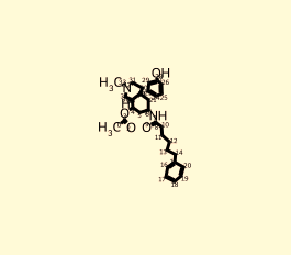 CC(=O)OC1C[C@H](NC(=O)CCCCCc2ccccc2)C[C@]2(c3cccc(O)c3)CCN(C)C[C@@H]12